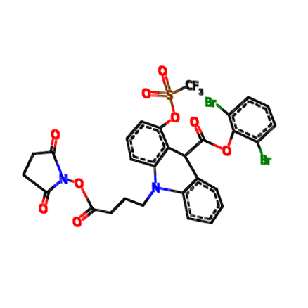 O=C(CCCN1c2ccccc2C(C(=O)Oc2c(Br)cccc2Br)c2c(OS(=O)(=O)C(F)(F)F)cccc21)ON1C(=O)CCC1=O